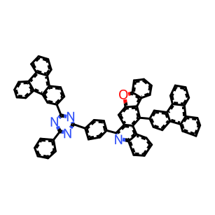 c1ccc(-c2nc(-c3ccc(-c4nc5ccccc5c5c(-c6ccc7c8ccccc8c8ccccc8c7c6)c6c(cc45)oc4ccccc46)cc3)nc(-c3ccc4c5ccccc5c5ccccc5c4c3)n2)cc1